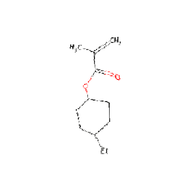 C=C(C)C(=O)OC1CCC(CC)CC1